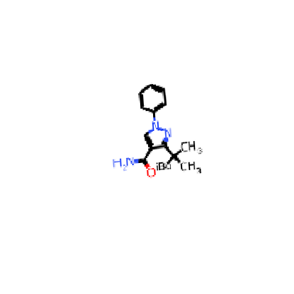 CCC(C)C(C)(C)c1nn(-c2ccccc2)cc1C(N)=O